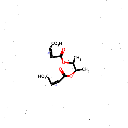 CC(OC(=O)/C=C\C(=O)O)C(C)OC(=O)/C=C\C(=O)O